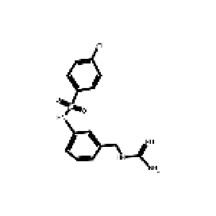 N=C(N)NCc1cccc(NS(=O)(=O)c2ccc(Cl)cc2)c1